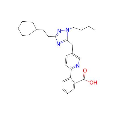 CCCCn1nc(CCC2CCCCC2)nc1Cc1ccc(-c2ccccc2C(=O)O)nc1